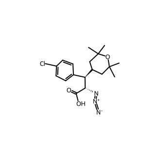 CC1(C)CC([C@H](c2ccc(Cl)cc2)[C@H](N=[N+]=[N-])C(=O)O)CC(C)(C)O1